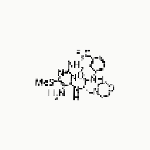 CSc1nc(N)nc(N[C@@H](CN2CCOCC2)C(=O)Nc2cccc(C(F)(F)F)c2)c1N